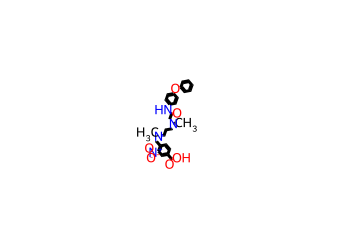 CN(CCCN(C)Cc1ccc(C(=O)O)cc1[N+](=O)[O-])CC(=O)Nc1ccc(Oc2ccccc2)cc1